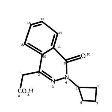 O=C(O)Cc1nn(C2CCC2)c(=O)c2ccccc12